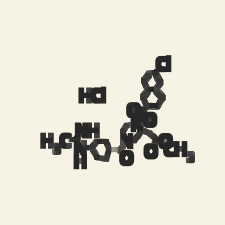 COC(=O)CC1CN(C(=O)[C@H]2CC[C@H](NC(C)=N)CC2)CCN1S(=O)(=O)c1ccc2cc(Cl)ccc2c1.Cl